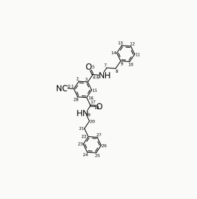 N#Cc1cc(C(=O)NCCc2ccccc2)cc(C(=O)NCCc2ccccc2)c1